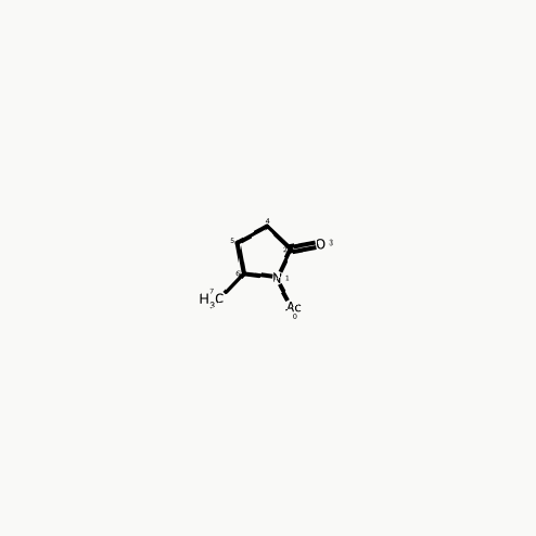 CC(=O)N1C(=O)CCC1C